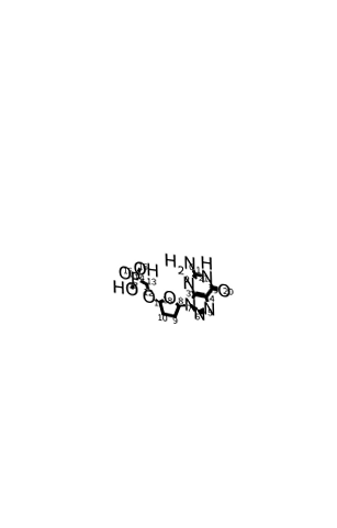 Nc1nc2c(nnn2[C@H]2CC[C@@H](OCP(=O)(O)O)O2)c(=O)[nH]1